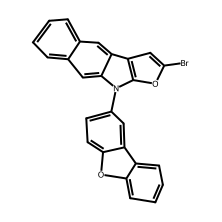 Brc1cc2c3cc4ccccc4cc3n(-c3ccc4oc5ccccc5c4c3)c2o1